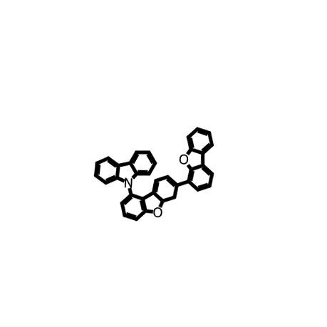 C1=C(c2cccc3c2oc2ccccc23)CC2Oc3cccc(-n4c5ccccc5c5ccccc54)c3C2=C1